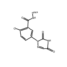 CCCCCCNC(=O)c1cc(-n2ncc(=O)[nH]c2=O)ccc1Cl